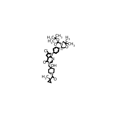 CC(C)(C)OC(=O)N1CC(C)(C)OC[C@@H]1c1ccc(-n2c(Cl)cc3c(=O)n(CC4(O)CCN(C(=O)C5(C)CC5)CC4)cnc32)cc1